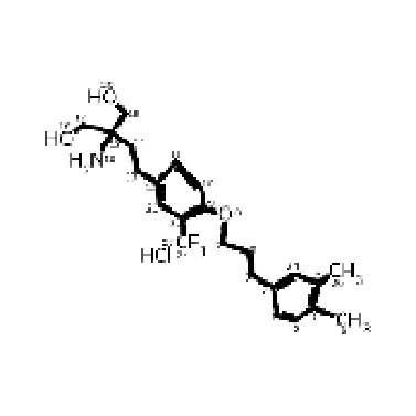 Cc1ccc(CCCOc2ccc(CCC(N)(CO)CO)cc2C(F)(F)F)cc1C.Cl